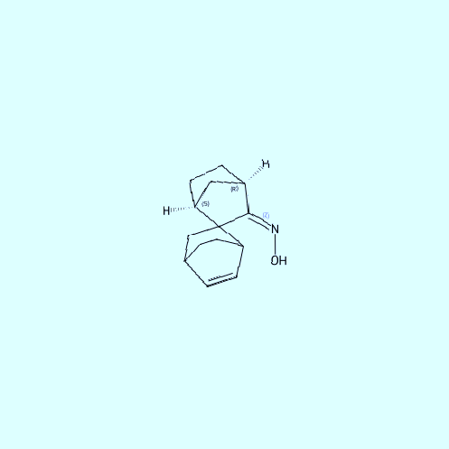 O/N=C1/[C@@H]2CC[C@@H](C2)C12CC1C=CC2CC1